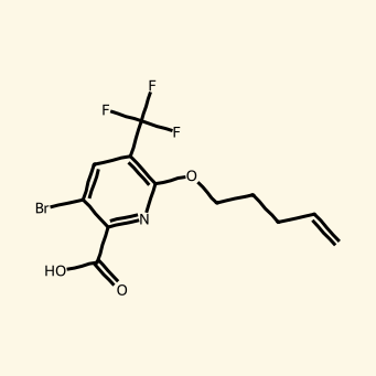 C=CCCCOc1nc(C(=O)O)c(Br)cc1C(F)(F)F